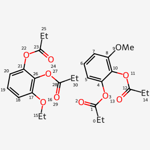 CCC(=O)Oc1cccc(OC)c1OC(=O)CC.CCOc1cccc(OC(=O)CC)c1OC(=O)CC